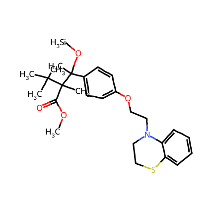 COC(=O)C(C)(C(C)(C)C)C(C)(O[SiH3])c1ccc(OCCN2CCSc3ccccc32)cc1